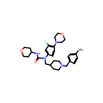 CC(C)(C)c1ccc(CN2CCC(CN(C(=O)NC3CCOCC3)c3ccc(N4CCOCC4)c(F)c3)CC2)cc1